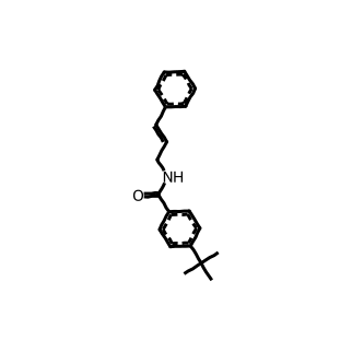 CC(C)(C)c1ccc(C(=O)NC/C=C/c2ccccc2)cc1